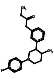 COC(=O)Cc1cccc(C2CN(c3ccc(F)cc3)CCC2C)c1